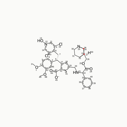 COc1ccc([C@H](Cc2c(Cl)c[n+](O)cc2Cl)c2cc(CNC(C(=O)OC[C@@H]3CN4CCC3CC4)c3ccccc3)sc2C(=O)[O-])cc1OC